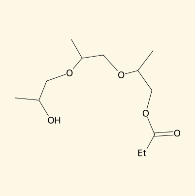 CCC(=O)OCC(C)OCC(C)OCC(C)O